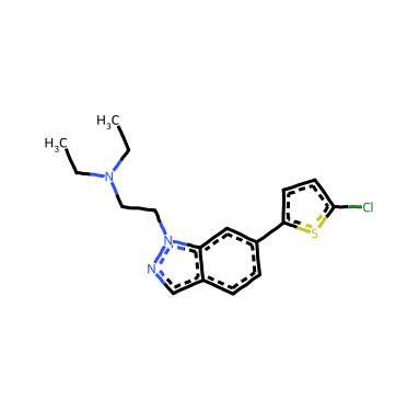 CCN(CC)CCn1ncc2ccc(-c3ccc(Cl)s3)cc21